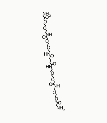 NCC(=O)COCCOCCNC(=O)COCCOCCNC(=O)CCCC(=O)NCCOCCOCC(=O)NCCOCCOCC(=O)CN